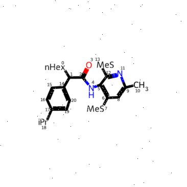 CCCCCCC(C(=O)Nc1c(SC)cc(C)nc1SC)c1ccc(C(C)C)cc1